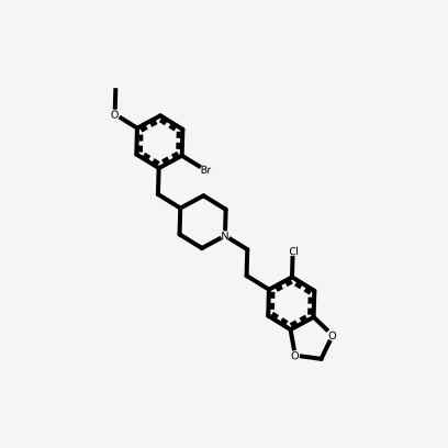 COc1ccc(Br)c(CC2CCN(CCc3cc4c(cc3Cl)OCO4)CC2)c1